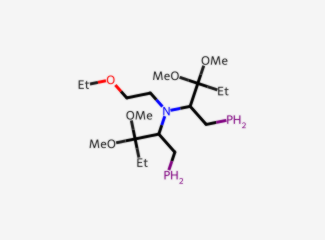 CCOCCN(C(CP)C(CC)(OC)OC)C(CP)C(CC)(OC)OC